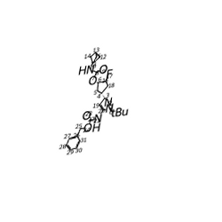 CC(C)(C)n1nc([C@@H]2C[C@H](OC(=O)NC34CC(C3)C4)[C@@H](F)C2)cc1NC(=O)OCc1ccccc1